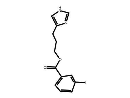 O=C(OCCCc1c[nH]cn1)c1cccc(I)c1